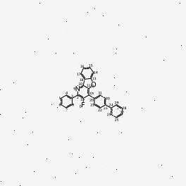 Fc1c(-c2ccccc2)nc2c(oc3ccccc32)c1-c1ccc(-c2ccccc2)cc1